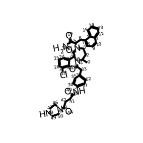 CC1CCN(C(Cc2cccc3ccccc23)C(N)=O)C(=O)C(c2cccc(Cl)c2)N1C(=O)Cc1ccc(NC(=O)CCC(=O)N2CCNCC2)cc1